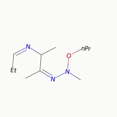 CC/C=N\C(C)/C(C)=N\N(C)OCCC